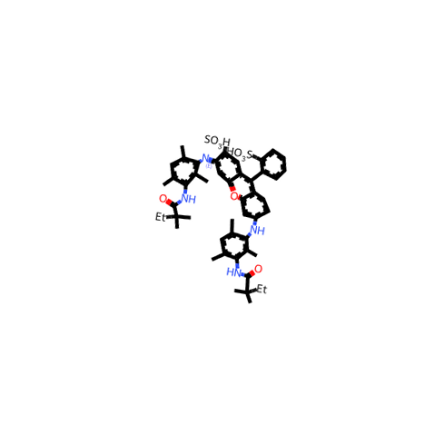 CCC(C)(C)C(=O)Nc1c(C)cc(C)c(/N=c2\cc3oc4cc(Nc5c(C)cc(C)c(NC(=O)C(C)(C)CC)c5C)ccc4c(-c4ccccc4S(=O)(=O)O)c-3cc2S(=O)(=O)O)c1C